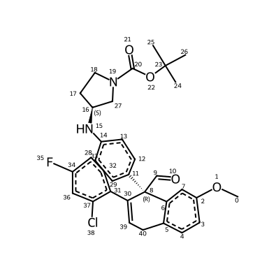 COc1ccc2c(c1)[C@@](C=O)(c1ccc(N[C@H]3CCN(C(=O)OC(C)(C)C)C3)cc1)C(c1ccc(F)cc1Cl)=CC2